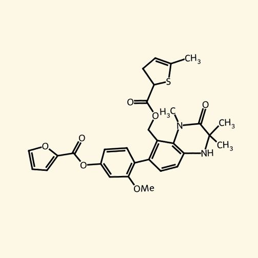 COc1cc(OC(=O)c2ccco2)ccc1-c1ccc2c(c1COC(=O)C1CC=C(C)S1)N(C)C(=O)C(C)(C)N2